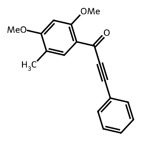 COc1cc(OC)c(C(=O)C#Cc2ccccc2)cc1C